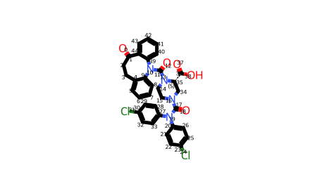 O=C1CCc2ccccc2N(C(=O)N2CCN(C(=O)N(c3ccc(Cl)cc3)c3ccc(Cl)cc3)C[C@H]2C(=O)O)c2ccccc21